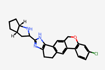 Clc1ccc2c(c1)OCc1cc3c(cc1-2)CCc1nc(C2C[C@@H]4CCC[C@@H]4N2)[nH]c1-3